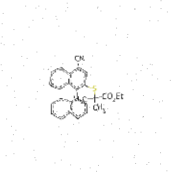 CCOC(=O)C(C)(C)Sc1cc(C#N)c2ccccc2c1-c1cccc2ccccc12